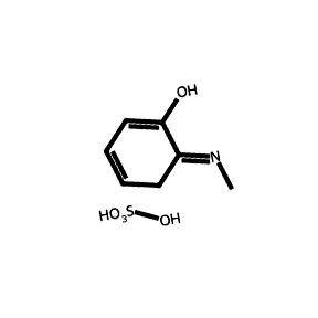 CN=C1CC=CC=C1O.O=S(=O)(O)O